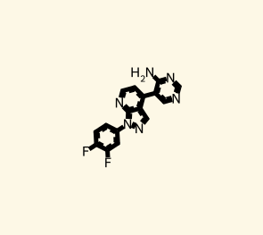 Nc1ncncc1-c1ccnc2c1cnn2-c1ccc(F)c(F)c1